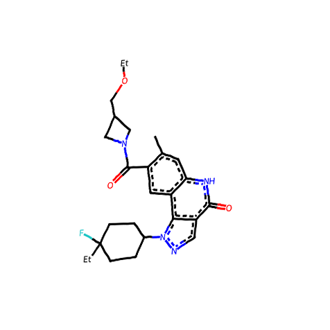 CCOCC1CN(C(=O)c2cc3c(cc2C)[nH]c(=O)c2cnn(C4CCC(F)(CC)CC4)c23)C1